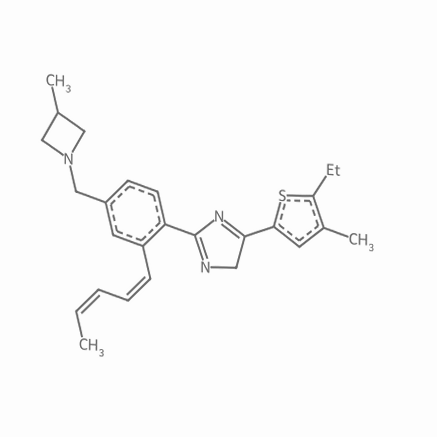 C/C=C\C=C/c1cc(CN2CC(C)C2)ccc1C1=NCC(c2cc(C)c(CC)s2)=N1